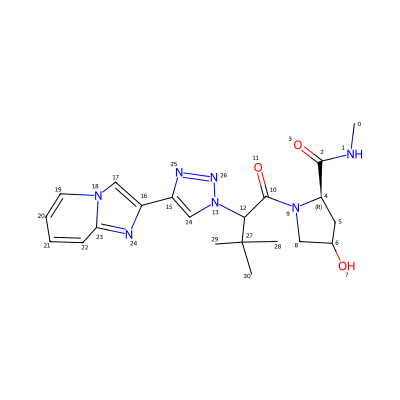 CNC(=O)[C@H]1CC(O)CN1C(=O)C(n1cc(-c2cn3ccccc3n2)nn1)C(C)(C)C